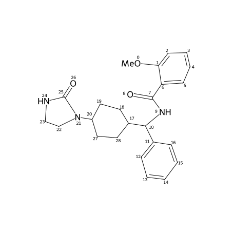 COc1ccccc1C(=O)NC(c1ccccc1)C1CCC(N2CCNC2=O)CC1